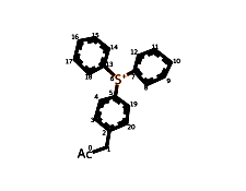 CC(=O)Cc1ccc([S+](c2ccccc2)c2ccccc2)cc1